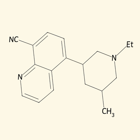 CCN1CC(C)CC(c2ccc(C#N)c3ncccc23)C1